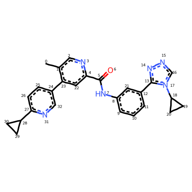 Cc1cnc(C(=O)Nc2cccc(-c3nncn3C3CC3)c2)cc1-c1ccc(C2CC2)nc1